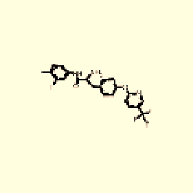 Cc1ccc(NC(=O)C(N)Cc2ccc(Oc3ccc(C(F)(F)F)cn3)cc2)cc1F